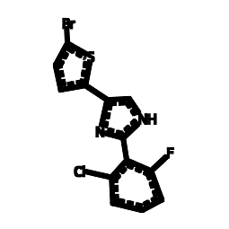 Fc1cccc(Cl)c1-c1nc(-c2ccc(Br)s2)c[nH]1